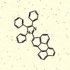 c1ccc(-c2nc(-c3ccc4c5cccc6cccc(c7cccc3c74)c65)n(-c3ccccc3)c2-c2ccccc2)cc1